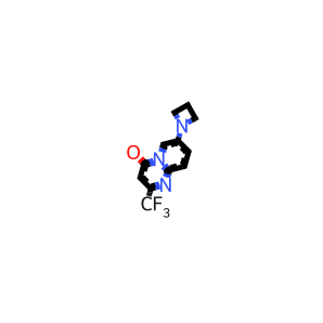 O=c1cc(C(F)(F)F)nc2ccc(N3CCC3)cn12